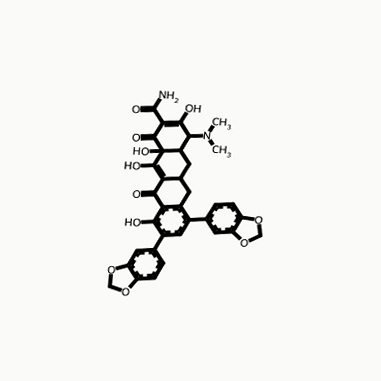 CN(C)C1C(O)=C(C(N)=O)C(=O)C2(O)C(O)=C3C(=O)c4c(O)c(-c5ccc6c(c5)OCO6)cc(-c5ccc6c(c5)OCO6)c4CC3CC12